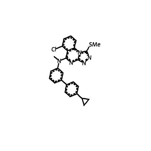 CSc1nnc2nc(N(C)c3cccc(-c4ccc(C5CC5)cc4)c3)c3c(Cl)cccc3n12